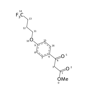 COC(=O)CC(=O)c1ccc(OCCCC(F)(F)F)cc1